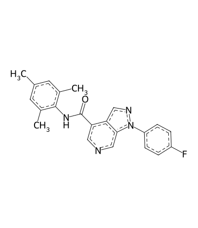 Cc1cc(C)c(NC(=O)c2cncc3c2cnn3-c2ccc(F)cc2)c(C)c1